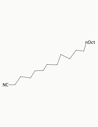 [CH2]CCCCCCCCCCCCCCCCCCC#N